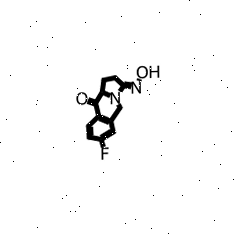 O=C1c2ccc(F)cc2CN2C(=NO)CCC12